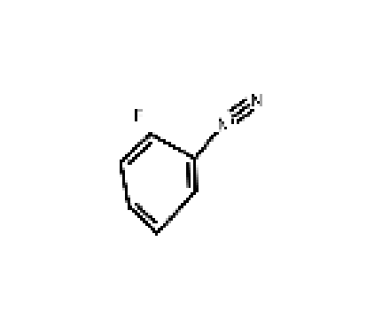 N#[N+]c1ccccc1.[F-]